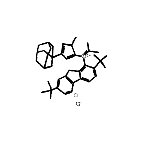 C[C](C)=[Zr+2]([C]1=CC(C23CC4CC(CC(C4)C2)C3)=CC1C)[c]1c(C(C)(C)C)ccc2c1Cc1cc(C(C)(C)C)ccc1-2.[Cl-].[Cl-]